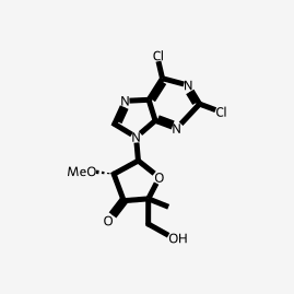 CO[C@H]1C(=O)C(C)(CO)OC1n1cnc2c(Cl)nc(Cl)nc21